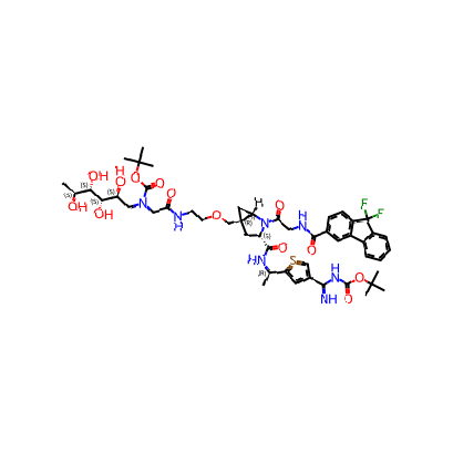 C[C@H](O)[C@H](O)[C@@H](O)[C@@H](O)CN(CC(=O)NCCOC[C@@]12C[C@@H]1N(C(=O)CNC(=O)c1ccc3c(c1)-c1ccccc1C3(F)F)[C@H](C(=O)N[C@H](C)c1cc(C(=N)NC(=O)OC(C)(C)C)cs1)C2)C(=O)OC(C)(C)C